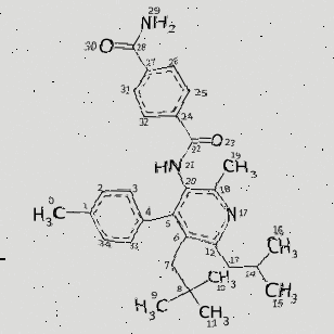 Cc1ccc(-c2c([CH]C(C)(C)C)c(CC(C)C)nc(C)c2NC(=O)c2ccc(C(N)=O)cc2)cc1